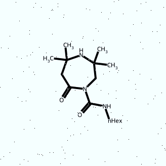 CCCCCCNC(=O)N1CC(C)(C)NC(C)(C)CC1=O